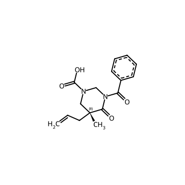 C=CC[C@]1(C)CN(C(=O)O)CN(C(=O)c2ccccc2)C1=O